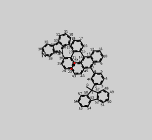 CC1(c2cccc(-c3c4ccccc4c(-c4ccccc4-c4ccccc4-n4c5ccccc5c5ccncc54)c4ccccc34)c2)c2ccccc2-c2ccccc21